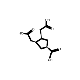 O=C(O)C[C@@H]1CN(C(=O)O)C[C@@H]1CC(=O)O